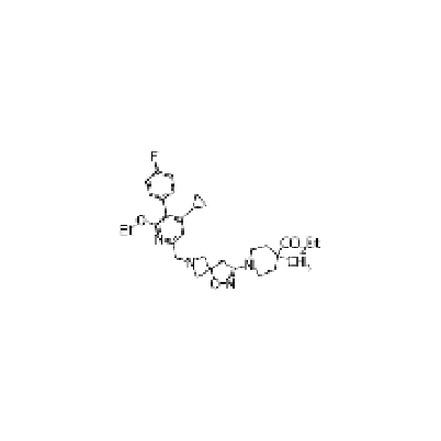 CCOC(=O)C1(C)CCN(C2=NOC3(C2)CN(Cc2cc(C4CC4)c(-c4ccc(F)cc4)c(OCC)n2)C3)CC1